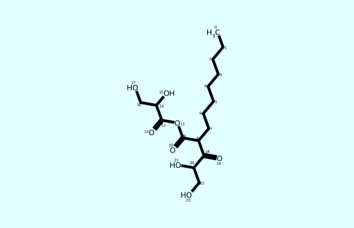 CCCCCCCCC(C(=O)OC(=O)C(O)CO)C(=O)C(O)CO